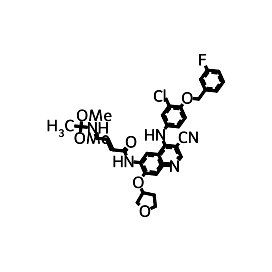 COC(C)(NC/C=C/C(=O)Nc1cc2c(Nc3ccc(OCc4cccc(F)c4)c(Cl)c3)c(C#N)cnc2cc1OC1CCOC1)OC